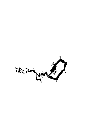 CCCCCN[n+]1ccccc1